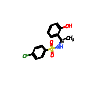 C[C@H](NS(=O)(=O)c1ccc(Cl)cc1)c1ccccc1O